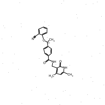 Cc1cc(C)c(CNC(=O)c2ccc([C@H](C)Oc3ccccc3C#N)cc2)c(=O)[nH]1